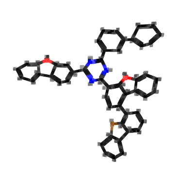 c1ccc(-c2cccc(-c3nc(-c4ccc5c(c4)oc4ccccc45)nc(-c4ccc(-c5cccc6c5sc5ccccc56)c5c4oc4ccccc45)n3)c2)cc1